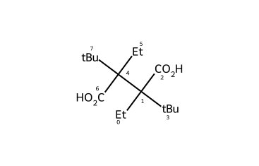 CCC(C(=O)O)(C(C)(C)C)C(CC)(C(=O)O)C(C)(C)C